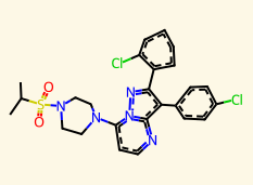 CC(C)S(=O)(=O)N1CCN(c2ccnc3c(-c4ccc(Cl)cc4)c(-c4ccccc4Cl)nn23)CC1